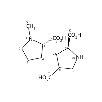 CN1CCC[C@H]1C(=O)O.O=C(O)C1CN[C@H](C(=O)O)C1